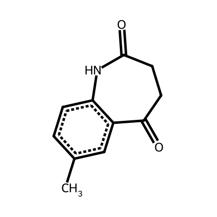 Cc1ccc2c(c1)C(=O)CCC(=O)N2